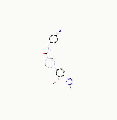 CCOc1cc(N2CCCN(C(=O)NCc3ccc(C#N)cc3)CC2)ccc1-n1cnc(C)n1